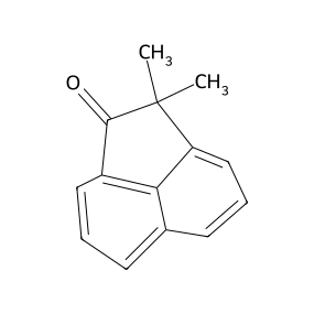 CC1(C)C(=O)c2cccc3cccc1c23